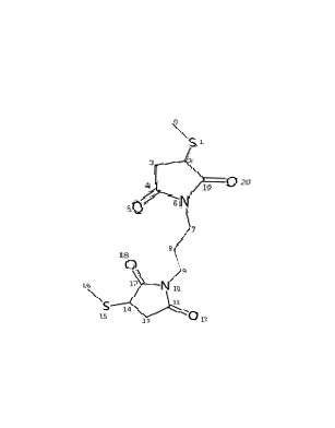 CSC1CC(=O)N(CCCN2C(=O)CC(SC)C2=O)C1=O